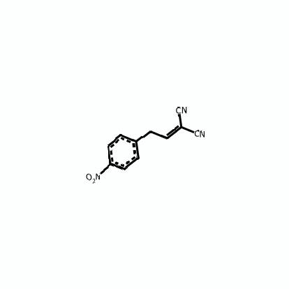 N#CC(C#N)=CCc1ccc([N+](=O)[O-])cc1